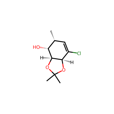 C[C@@H]1C=C(Cl)[C@H]2OC(C)(C)O[C@H]2[C@@H]1O